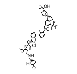 COc1nc(O[C@H]2CCc3c(-c4cccc(-c5cc6cc7c(c(C(F)(F)F)c6o5)CC[C@H]7N5CC[C@@H](C(=O)O)C5)c4C)cccc32)c(Cl)cc1CNC[C@H]1CCC(=O)N1